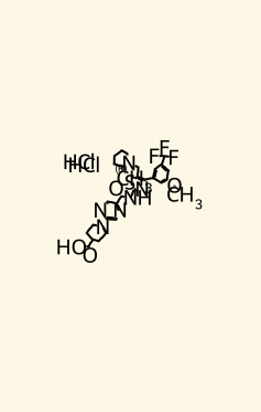 COc1cc(-c2nc(NC(=O)c3cnc(N4CCC(C(=O)O)CC4)cn3)sc2CN2CCCC[C@H]2C)cc(C(F)(F)F)c1.Cl.Cl